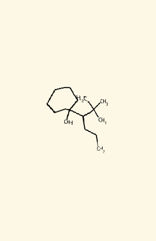 CCCC(C(C)(C)C)C1(O)CCCCC1